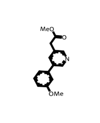 COC(=O)Cc1cncc(-c2cccc(OC)c2)c1